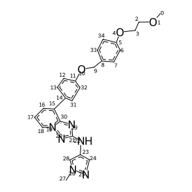 COCCOc1ccc(COc2ccc(-c3cccn4nc(Nc5cnn(C)c5)nc34)cc2)cc1